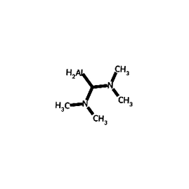 CN(C)[CH]([AlH2])N(C)C